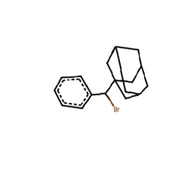 BrC(c1ccccc1)C12CC3CC(CC(C3)C1)C2